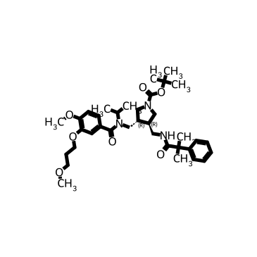 COCCCOc1cc(C(=O)N(C[C@@H]2CN(C(=O)OC(C)(C)C)C[C@H]2CNC(=O)C(C)(C)c2ccccc2)C(C)C)ccc1OC